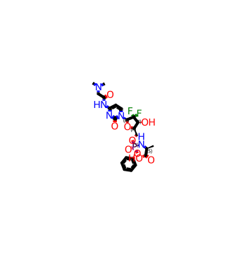 C[C@H](N[P@](=O)(OC[C@H]1O[C@@H](n2ccc(NC(=O)CN(C)C)nc2=O)C(F)(F)[C@@H]1O)Oc1ccccc1)C(=O)O